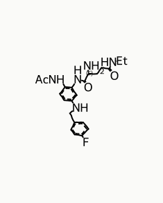 CCNC(=O)CC[C@H](N)C(=O)Nc1cc(NCc2ccc(F)cc2)ccc1NC(C)=O